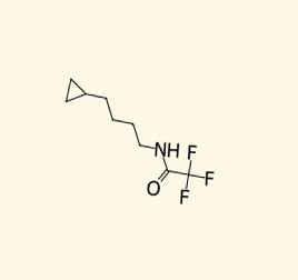 O=C(NCCCCC1CC1)C(F)(F)F